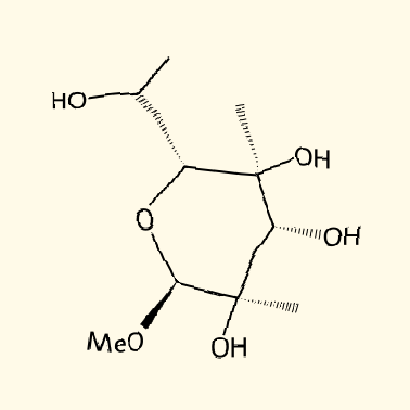 CO[C@H]1O[C@H](C(C)O)[C@@](C)(O)[C@H](O)[C@@]1(C)O